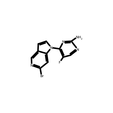 Nc1ncc(F)c(-n2ccc3cnc(Br)cc32)n1